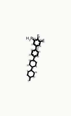 CC1CCC(C2CCC(c3ccc(-c4cc(F)c(F)c(P)c4)cc3)CC2)CC1